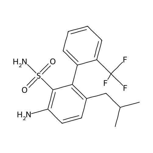 CC(C)Cc1ccc(N)c(S(N)(=O)=O)c1-c1ccccc1C(F)(F)F